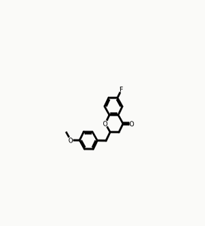 COc1ccc(CC2CC(=O)c3cc(F)ccc3O2)cc1